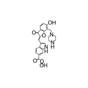 O=C(OO)c1ccc2c(/C=C3\Oc4c(ccc(O)c4CN4CCNCC4)C3=O)c[nH]c2c1